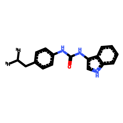 [2H]C([2H])Cc1ccc(NC(=O)Nc2c[nH]c3ccccc23)cc1